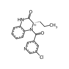 CCC[C@H]1C(=O)Nc2ccccc2N1C(=O)c1cncc(Cl)c1